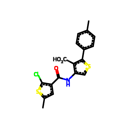 Cc1ccc(-c2scc(NC(=O)c3cc(C)sc3Cl)c2C(=O)O)cc1